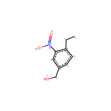 CCc1ccc(CO)cc1[N+](=O)[O-]